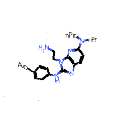 CCCN(CCC)c1ccc2nc(Nc3ccc(C(C)=O)cc3)n(CCN)c2n1